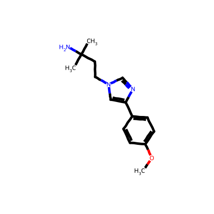 COc1ccc(-c2cn(CCC(C)(C)N)cn2)cc1